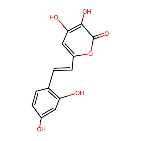 O=c1oc(C=Cc2ccc(O)cc2O)cc(O)c1O